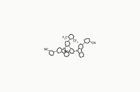 N#Cc1cccc(-c2ccc3c(c2)c2ccccc2n3-c2ccc(C#N)c(-c3cc(-c4c(C(F)(F)F)cccc4C(F)(F)F)ccc3-n3c4ccccc4c4cc(-c5cccc(C#N)c5)ccc43)c2)c1